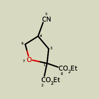 CCOC(=O)C1(C(=O)OCC)CC(C#N)CO1